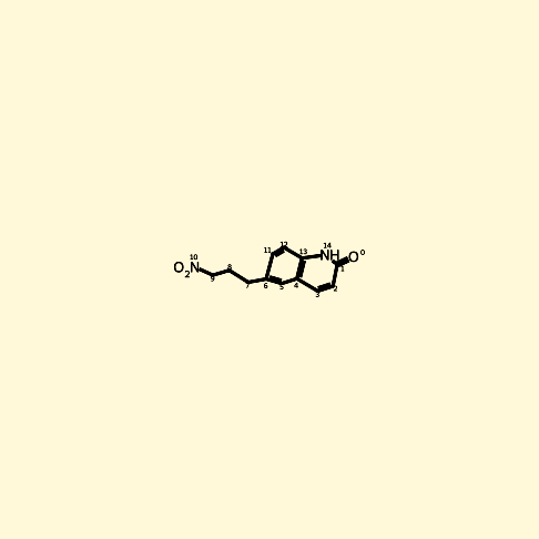 O=c1ccc2cc(CCC[N+](=O)[O-])ccc2[nH]1